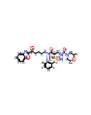 O=C(CCCCNC(=O)C(CNC(=O)N1CCOCC1)S(=O)(=O)Cc1ccccc1)c1nc2ccccc2o1